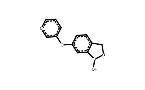 OB1OCc2ccc(Oc3cccnc3)cc21